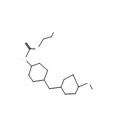 O=C(O)NC1CCC(CC2CCC(NC(=O)OCCO)CC2)CC1